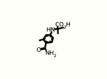 Cc1cc(NC(C)(C)C(=O)O)ccc1C(N)=O